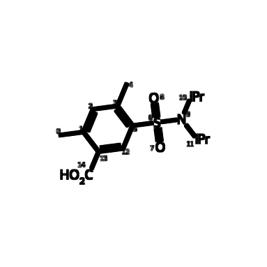 Cc1cc(C)c(S(=O)(=O)N(C(C)C)C(C)C)cc1C(=O)O